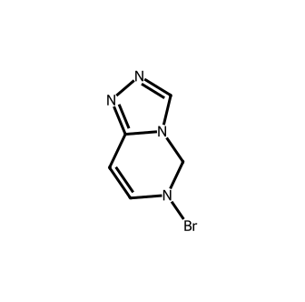 BrN1C=Cc2nncn2C1